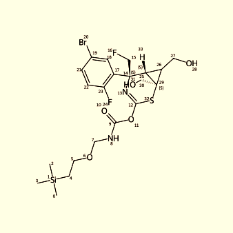 C[Si](C)(C)CCOCNC(=O)OC1=N[C@](CF)(c2cc(Br)ccc2F)[C@@H]2C(CO)[C@@]2(CO)S1